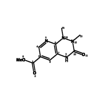 COC(=O)c1cnc2c(c1)NC(=O)N(C)N2C